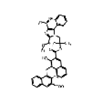 CCOCc1nc2c(n1CC(C)(C)OC(=O)c1cc3ccccc3c(Cc3c(O)c(C(=O)[O-])cc4ccccc34)c1O)-c1ccccc1[N+]=C2N